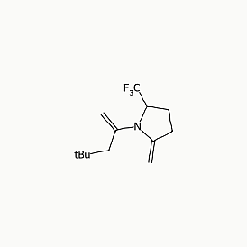 C=C1CCC(C(F)(F)F)N1C(=C)CC(C)(C)C